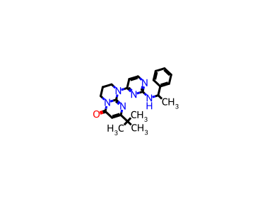 CC(Nc1nccc(N2CCCn3c2nc(C(C)(C)C)cc3=O)n1)c1ccccc1